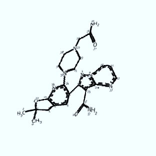 CC1(C)Cc2cc(-c3nn4cccnc4c3C(N)=O)c(N3CCN(CC(N)=O)CC3)nc2O1